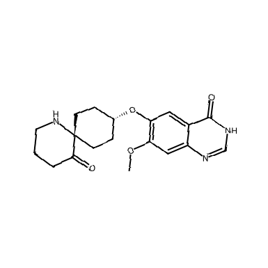 COc1cc2nc[nH]c(=O)c2cc1O[C@H]1CC[C@]2(CC1)NCCCC2=O